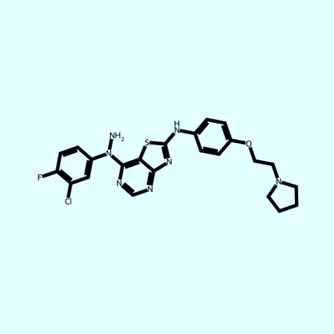 NN(c1ccc(F)c(Cl)c1)c1ncnc2nc(Nc3ccc(OCCN4CCCC4)cc3)sc12